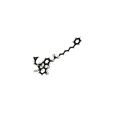 O=C(OCCCCCCc1ccccc1)Oc1ccc2c3c1OC1C(=O)CCC4(O)C5N(CC6CC6)C25CC314